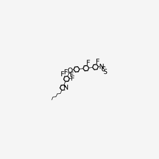 CCCCCc1ccc(-c2cc(F)c(C(F)(F)Oc3ccc(-c4ccc(-c5ccc(N=C=S)c(F)c5)c(F)c4)cc3)c(F)c2)nc1